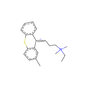 CC[N+](C)(C)CC/C=C1/c2ccccc2Sc2ccc(C)cc21